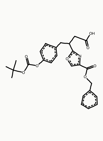 CC(C)(C)OC(=O)Oc1ccc(CC(CC(=O)O)c2nc(C(=O)OCc3ccccc3)co2)cc1